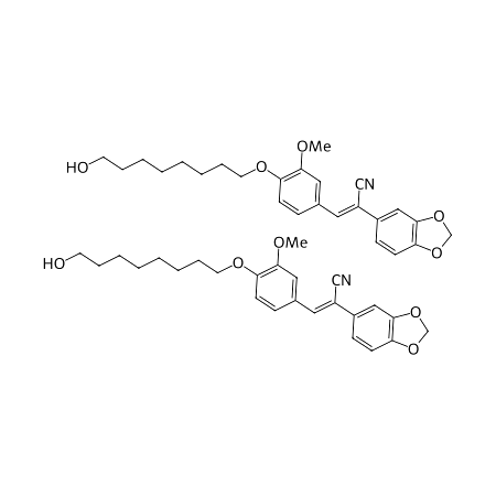 COc1cc(C=C(C#N)c2ccc3c(c2)OCO3)ccc1OCCCCCCCCO.COc1cc(C=C(C#N)c2ccc3c(c2)OCO3)ccc1OCCCCCCCCO